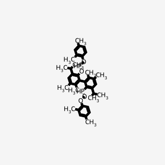 Cc1ccc(OOPc2c(C(C)C)cc(C)c(C)c2-c2c(C)c(C)cc(C(C)C)c2OPOc2ccc(C)cc2C)c(C)c1